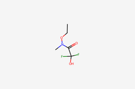 CCON(C)C(=O)C(O)(F)F